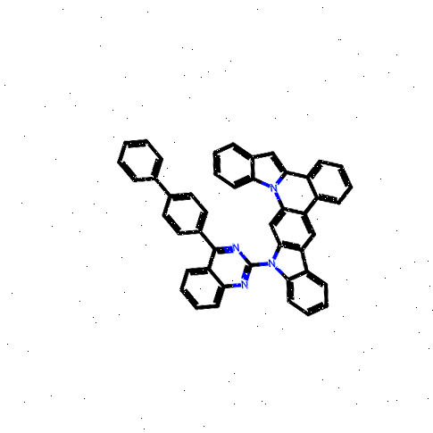 c1ccc(-c2ccc(-c3nc(-n4c5ccccc5c5cc6c7ccccc7c7cc8ccccc8n7c6cc54)nc4ccccc34)cc2)cc1